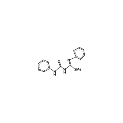 CS/C(=N\c1ccccc1)NC(=O)Nc1ccccc1